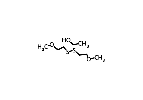 CCO.COCCSSCCOC